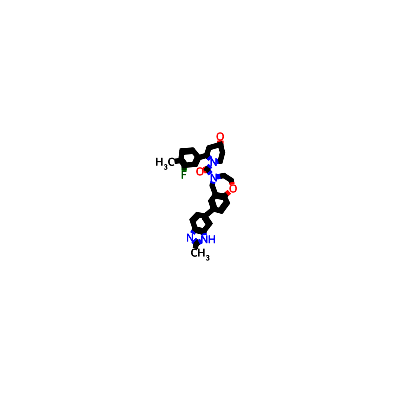 Cc1nc2ccc(-c3ccc4c(c3)CN(C(=O)N3CCC(=O)CC3c3ccc(C)c(F)c3)CCO4)cc2[nH]1